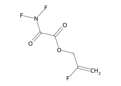 C=C(F)COC(=O)C(=O)N(F)F